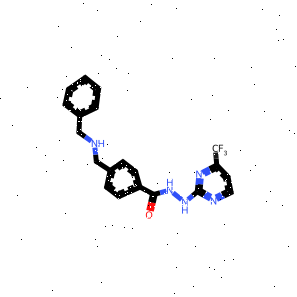 O=C(NNc1nccc(C(F)(F)F)n1)c1ccc(CNCc2ccccc2)cc1